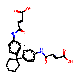 O=C(O)/C=C/C(=O)Nc1ccc(C2(c3ccc(NC(=O)/C=C/C(=O)O)cc3)CCCCC2)cc1